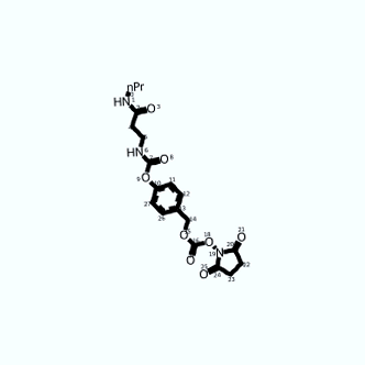 CCCNC(=O)CCNC(=O)Oc1ccc(COC(=O)ON2C(=O)CCC2=O)cc1